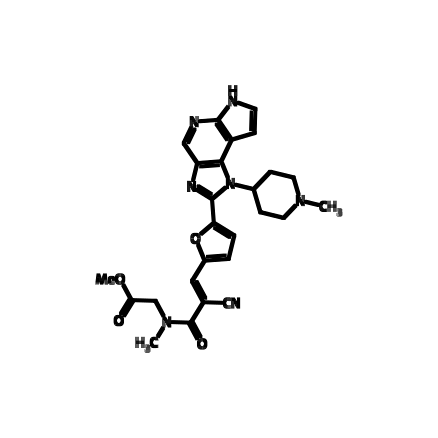 COC(=O)CN(C)C(=O)/C(C#N)=C/c1ccc(-c2nc3cnc4[nH]ccc4c3n2C2CCN(C)CC2)o1